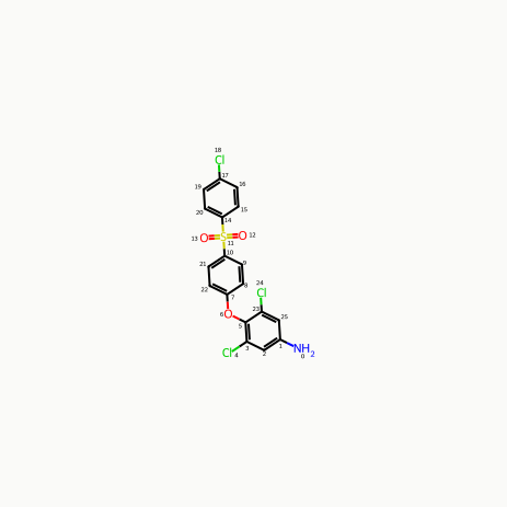 Nc1cc(Cl)c(Oc2ccc(S(=O)(=O)c3ccc(Cl)cc3)cc2)c(Cl)c1